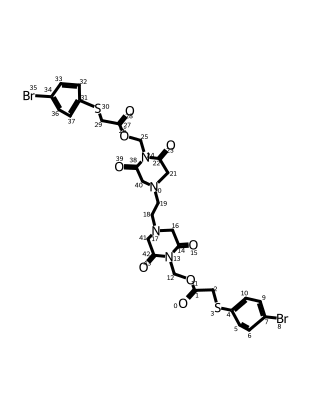 O=C(CSc1ccc(Br)cc1)OCN1C(=O)CN(CCN2CC(=O)N(COC(=O)CSc3ccc(Br)cc3)C(=O)C2)CC1=O